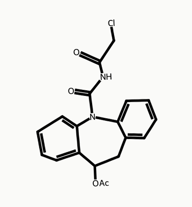 CC(=O)OC1Cc2ccccc2N(C(=O)NC(=O)CCl)c2ccccc21